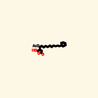 CC(=O)OC(CCCCCCCCCCc1ccccc1)C1=CC(=O)OC1O